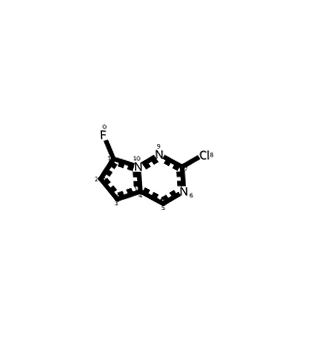 Fc1ccc2cnc(Cl)nn12